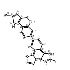 Cc1nc2c3ccsc3c3cc(-c4ccc5c(c4)OCc4nc(C(C)C)[nH]c4-5)ccc3c2[nH]1